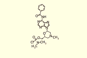 CN1C[C@@H](CO[P@](=O)(Cl)N(C)C)O[C@@H](n2cnc3c(NC(=O)c4ccccc4)ncnc32)C1